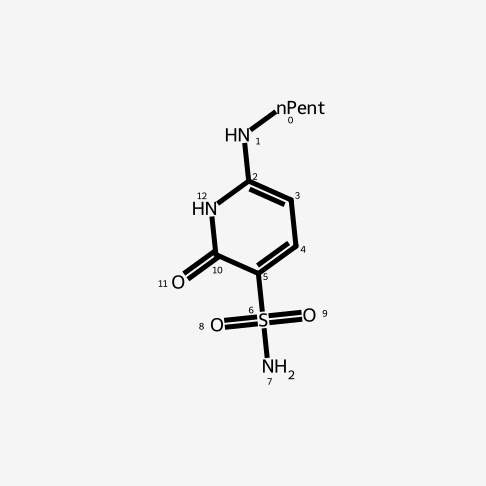 CCCCCNc1ccc(S(N)(=O)=O)c(=O)[nH]1